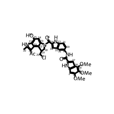 COc1cc2[nH]c(C(=O)Nc3ccc4[nH]c(C(=O)N5CC(CCl)c6c5cc(O)c5[nH]c(C)c(C(C)=O)c65)cc4c3)cc2c(OC)c1OC